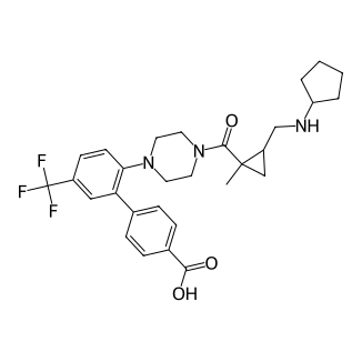 CC1(C(=O)N2CCN(c3ccc(C(F)(F)F)cc3-c3ccc(C(=O)O)cc3)CC2)CC1CNC1CCCC1